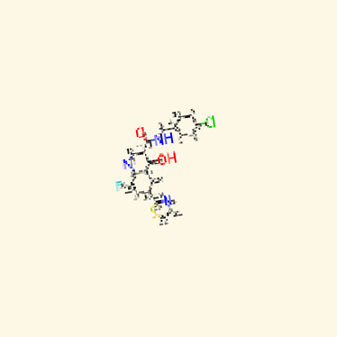 O=C(NCc1ccc(Cl)cc1)c1cnc2c(F)cc(-c3nccs3)cc2c1O